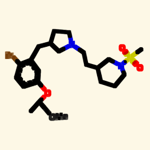 COC(C)Oc1ccc(Br)c(CC2CCN(CCC3CCCN(S(C)(=O)=O)C3)C2)c1